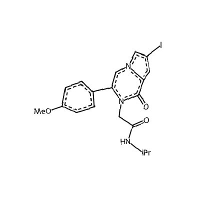 COc1ccc(-c2cn3cc(I)cc3c(=O)n2CC(=O)NC(C)C)cc1